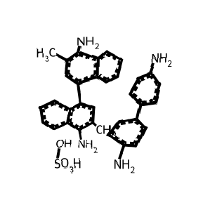 Cc1cc(-c2cc(C)c(N)c3ccccc23)c2ccccc2c1N.Nc1ccc(-c2ccc(N)cc2)cc1.O=S(=O)(O)O